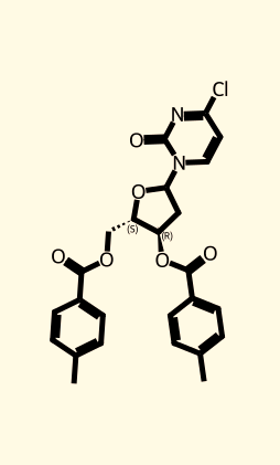 Cc1ccc(C(=O)OC[C@@H]2OC(n3ccc(Cl)nc3=O)C[C@H]2OC(=O)c2ccc(C)cc2)cc1